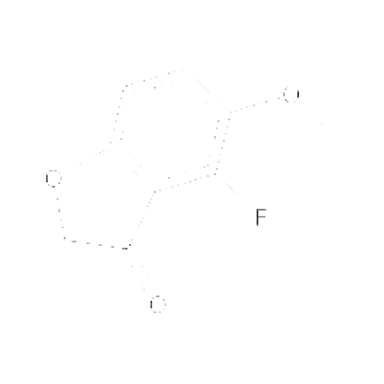 COc1ccc2c(c1F)C(=O)CO2